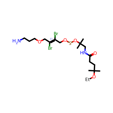 CCOC(C)(C)CCC(=O)NCC(C)(C)OSOC/C(Br)=C(\Br)COCCCN